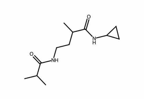 CC(C)C(=O)NCCC(C)C(=O)NC1CC1